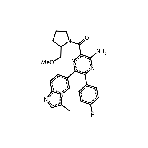 COCC1CCCN1C(=O)c1nc(-c2ccc3ncc(C)n3c2)c(-c2ccc(F)cc2)nc1N